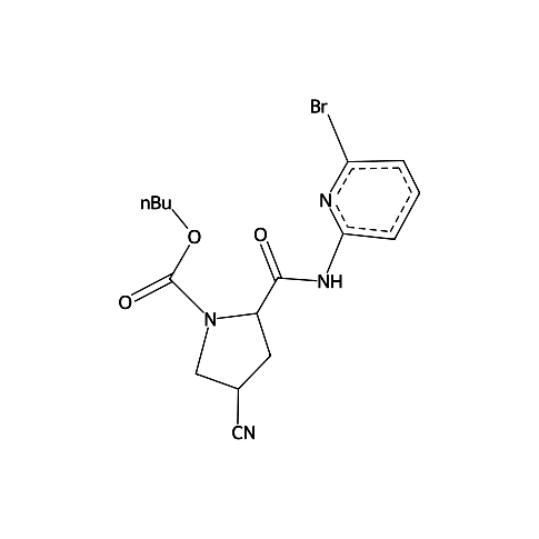 CCCCOC(=O)N1CC(C#N)CC1C(=O)Nc1cccc(Br)n1